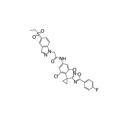 CCS(=O)(=O)c1ccc2c(cnn2CC(=O)Nc2cc(Cl)c(C3(c4noc(-c5ccc(F)cc5)n4)CC3)c(Cl)c2)c1